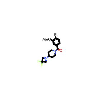 CCc1ccc(C(=O)N2CCC(N3CC(F)(F)C3)CC2)cc1OC